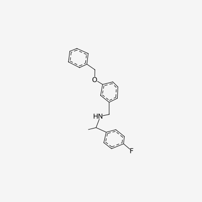 CC(NCc1cccc(OCc2ccccc2)c1)c1ccc(F)cc1